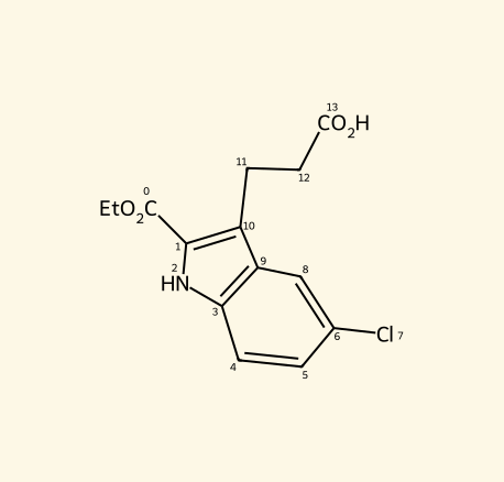 CCOC(=O)c1[nH]c2ccc(Cl)cc2c1CCC(=O)O